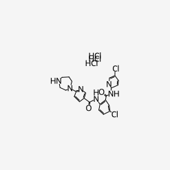 Cl.Cl.Cl.O=C(Nc1ccc(Cl)cc1C(=O)Nc1ccc(Cl)cn1)c1ccc(N2CCCNCC2)nc1